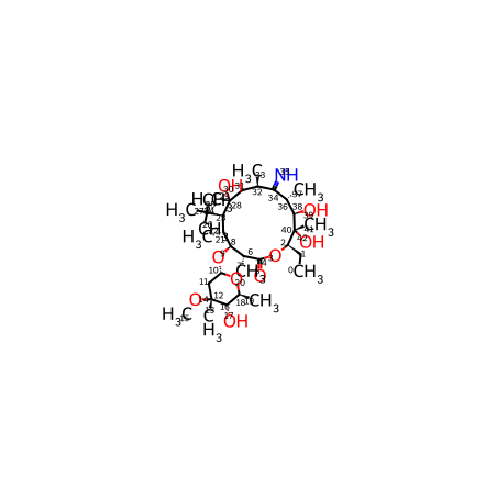 CC[C@H]1OC(=O)[C@H](C)[C@@H](O[C@H]2C[C@@](C)(OC)[C@@H](O)[C@H](C)O2)[C@H](C)[C@@H](C(C)(C)C)[C@](C)(O)C[C@@H](C)C(=N)[C@H](C)[C@@H](O)[C@]1(C)O